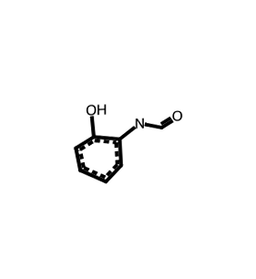 O=C[N]c1ccccc1O